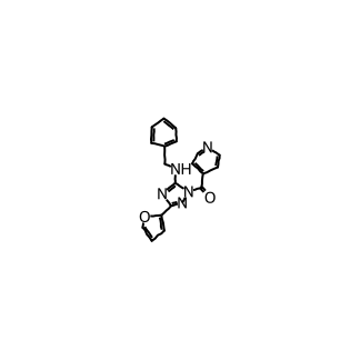 O=C(c1ccncc1)n1nc(-c2ccco2)nc1NCc1ccccc1